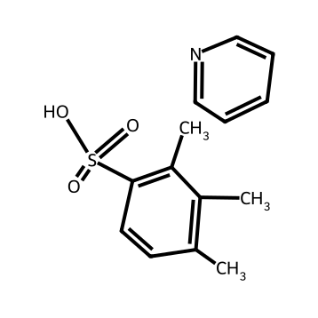 Cc1ccc(S(=O)(=O)O)c(C)c1C.c1ccncc1